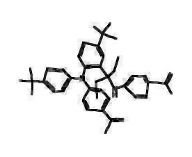 C=C(C)c1ccc(NC(CC)(CC)c2cc(C(C)(C)C)ccc2N(c2ccc(C(=C)C)cc2)c2ccc(C(C)(C)C)cc2)cc1